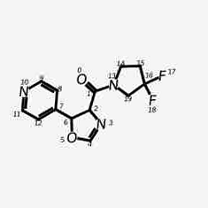 O=C(C1N=COC1c1ccncc1)N1CCC(F)(F)C1